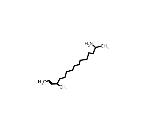 CC=CC(C)CCCCCCCCCCC(C)N